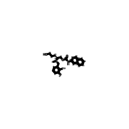 CN(Cc1cccc(F)c1F)[C@H](CCCO)COC(=O)Nc1cc2ccccc2cn1